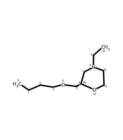 CCCCOC[C@H]1CN(CC)CCO1